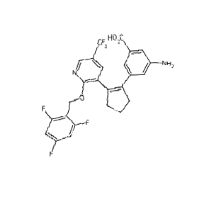 Nc1cc(C(=O)O)cc(C2=C(c3cc(C(F)(F)F)cnc3OCc3c(F)cc(F)cc3F)CCC2)c1